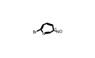 O=N[C@@H]1C=CC=C(Br)N=C1